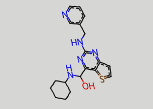 OC(NC1CCCCC1)c1nc(NCc2cccnc2)nc2ccsc12